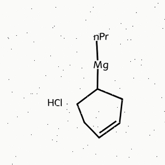 CC[CH2][Mg][CH]1CC=CCC1.Cl